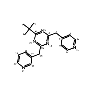 CC(C)(C)c1nc(Cc2ccncc2)nc(Cc2cccnc2)n1